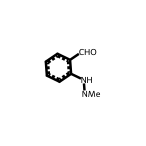 CNNc1ccccc1C=O